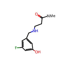 CNC(=O)CCNCc1cc(O)cc(F)c1